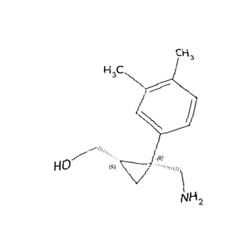 Cc1ccc([C@@]2(CN)C[C@@H]2CO)cc1C